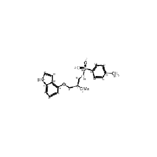 COC(COc1cccc2[nH]ccc12)COS(=O)(=O)c1ccc(C)cc1